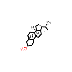 CC(C)[C@@H](C)[C@H]1CC[C@H]2[C@@H]3CC=C4C[C@@H](O)CC[C@]4(C)[C@H]3CC[C@]12C